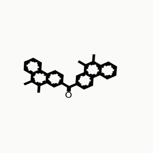 Cc1c(C)c2cc(C(=O)c3ccc4c(c3)c(C)c(C)c3ccccc34)ccc2c2ccccc12